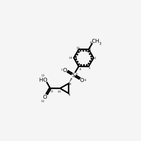 Cc1ccc(S(=O)(=O)[C@@H]2CC2C(=O)O)cc1